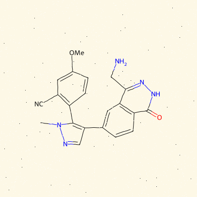 COc1ccc(-c2c(-c3ccc4c(=O)[nH]nc(CN)c4c3)cnn2C)c(C#N)c1